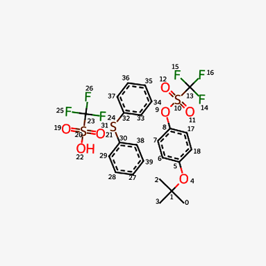 CC(C)(C)Oc1ccc(OS(=O)(=O)C(F)(F)F)cc1.O=S(=O)(O)C(F)(F)F.c1ccc(Sc2ccccc2)cc1